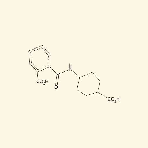 O=C(O)c1ccccc1C(=O)NC1CCC(C(=O)O)CC1